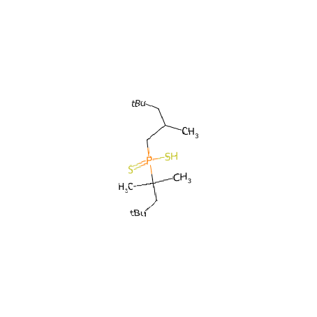 CC(CC(C)(C)C)CP(=S)(S)C(C)(C)CC(C)(C)C